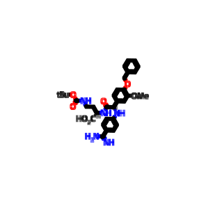 COc1cc([C@@H](Nc2ccc(C(=N)N)cc2)C(=O)N[C@@H](CCNC(=O)OC(C)(C)C)C(=O)O)ccc1OCc1ccccc1